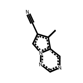 Cc1c(C#N)cn2ncncc12